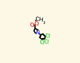 CCOC(=O)C1CCN(c2cc(Cl)c(Cl)c(Cl)c2)C1